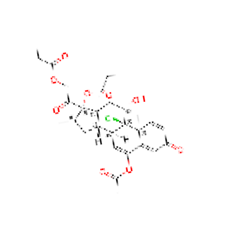 CCC(=O)OCC(=O)[C@]1(OC(=O)CC)[C@@H](C)C[C@H]2[C@@H]3C=C(OC(C)=O)C4=CC(=O)C=C[C@]4(C)[C@@]3(Cl)[C@@H](O)C[C@@]21C